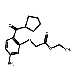 Bc1ccc(C(=O)C2CCCC2)c(OCC(=O)OCC)c1